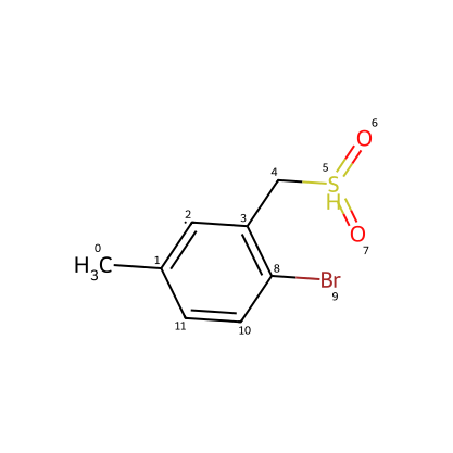 Cc1[c]c(C[SH](=O)=O)c(Br)cc1